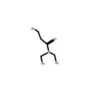 CC(=O)CCC(=O)N(CC(C)=O)CC(C)=O